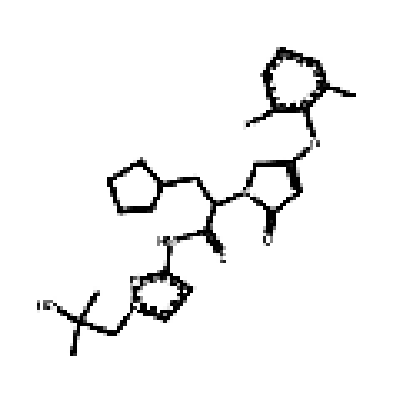 CC(C)(O)Cn1ccc(NC(=O)C(CC2CCCC2)N2CC(Oc3c(F)cccc3F)=CC2=O)n1